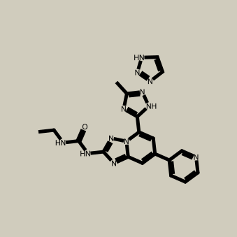 CCNC(=O)Nc1nc2cc(-c3cccnc3)cc(-c3nc(C)n[nH]3)n2n1.c1c[nH]nn1